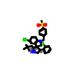 CC(C)(C)C[C@@H]1NC[C@H](c2ccccc2Cl)[C@]12CN(Cc1ccc(S(C)(=O)=O)cc1)c1ccc(Cl)cc12